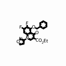 CCOC(=O)c1cn(-c2ccon2)c2cc(F)c(F)c(OCc3ccccc3)c2c1=O